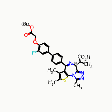 Cc1sc2c(c1C)C(c1ccc(-c3ccc(OCC(=O)OC(C)(C)C)c(F)c3)cc1)=N[C@@H](C(C)C(=O)O)c1nnc(C)n1-2